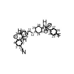 N#Cc1ccc2c(c1)[C@@H]1CN(CC[C@H]3CC[C@H](NS(=O)(=O)c4ccc(F)cc4)CC3)C[C@H]1CO2